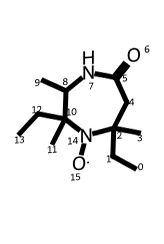 CCC1(C)CC(=O)NC(C)C(C)(CC)N1[O]